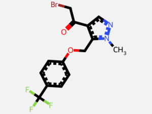 Cn1ncc(C(=O)CBr)c1COc1ccc(C(F)(F)F)cc1